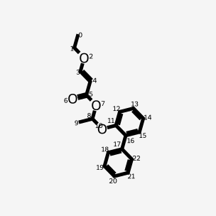 CCOC=CC(=O)OC(C)Oc1ccccc1-c1ccccc1